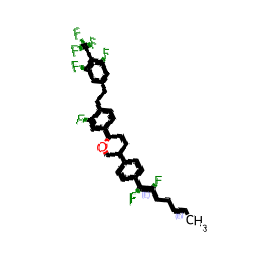 C/C=C/CC/C(F)=C(\F)c1ccc(C2CCC(c3ccc(CCc4cc(F)c(C(F)(F)F)c(F)c4)c(F)c3)OC2)cc1